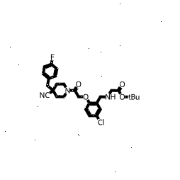 CC(C)(C)OC(=O)CNCc1cc(Cl)ccc1OCC(=O)N1CCC(C#N)(Cc2ccc(F)cc2)CC1